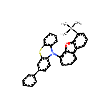 C[Si](C)(C)c1cccc2c1oc1c(N3c4ccccc4Sc4cc(-c5ccccc5)ccc43)cccc12